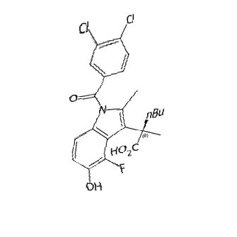 CCCC[C@@](C)(C(=O)O)c1c(C)n(C(=O)c2ccc(Cl)c(Cl)c2)c2ccc(O)c(F)c12